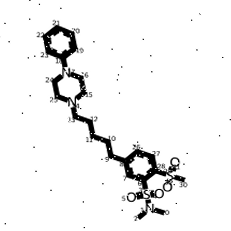 CN(C)S(=O)(=O)c1cc(CCCCCN2CCN(c3ccccc3)CC2)ccc1S(C)(=O)=O